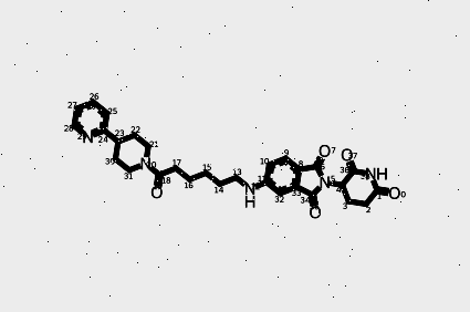 O=C1CCC(N2C(=O)c3ccc(NCCCCCC(=O)N4CCC(c5ccccn5)CC4)cc3C2=O)C(=O)N1